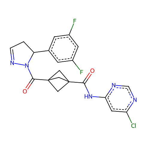 O=C(Nc1cc(Cl)ncn1)C12CC(C(=O)N3N=CCC3c3cc(F)cc(F)c3)(C1)C2